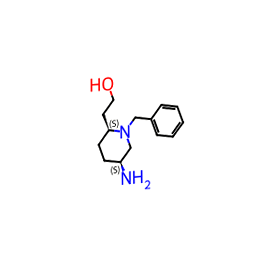 N[C@H]1CC[C@@H](CCO)N(Cc2ccccc2)C1